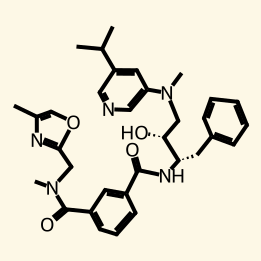 Cc1coc(CN(C)C(=O)c2cccc(C(=O)N[C@@H](Cc3ccccc3)[C@H](O)CN(C)c3cncc(C(C)C)c3)c2)n1